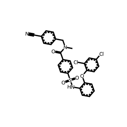 CN(Cc1ccc(C#N)cc1)C(=O)c1ccc(S(=O)(=O)Nc2ccccc2Oc2ccc(Cl)cc2Cl)cc1